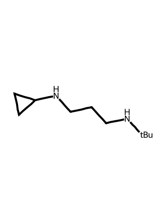 CC(C)(C)NCCCNC1CC1